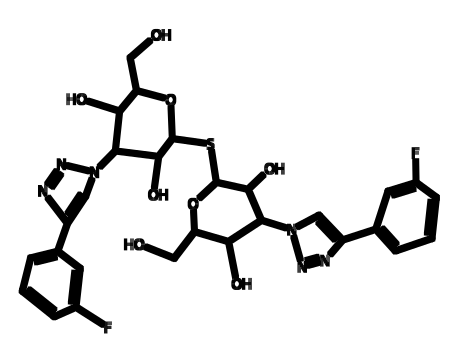 OCC1OC(SC2OC(CO)C(O)C(n3cc(-c4cccc(F)c4)nn3)C2O)C(O)C(n2cc(-c3cccc(F)c3)nn2)C1O